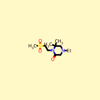 CCN1CC(=O)N(CCS(C)(=O)=O)C(C)(C)C1